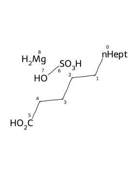 CCCCCCCCCCCC(=O)O.O=S(=O)(O)O.[MgH2]